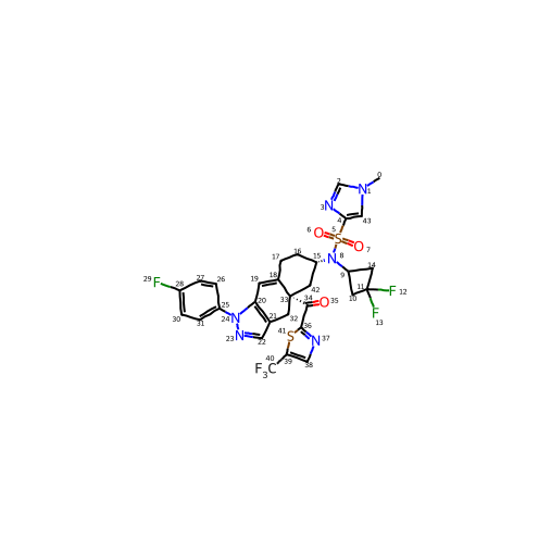 Cn1cnc(S(=O)(=O)N(C2CC(F)(F)C2)[C@H]2CCC3=Cc4c(cnn4-c4ccc(F)cc4)C[C@]3(C(=O)c3ncc(C(F)(F)F)s3)C2)c1